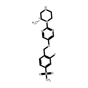 C[C@@H]1CNCCN1c1ncc(OCc2ccc(S(C)(=O)=O)cc2F)cn1